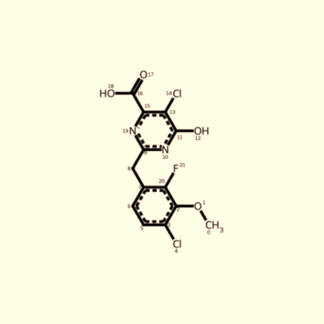 COc1c(Cl)ccc(Cc2nc(O)c(Cl)c(C(=O)O)n2)c1F